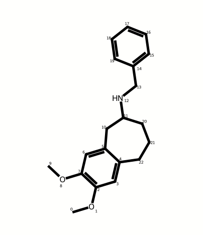 COc1cc2c(cc1OC)CC(NCc1ccccc1)CCC2